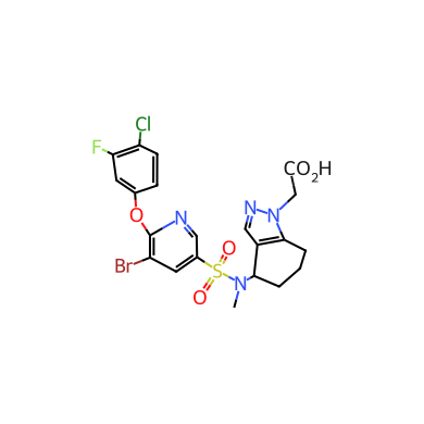 CN(C1CCCc2c1cnn2CC(=O)O)S(=O)(=O)c1cnc(Oc2ccc(Cl)c(F)c2)c(Br)c1